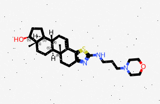 C[C@]12CC[C@H]3[C@@H](CC=C4c5sc(NCCCN6CCOCC6)nc5CC[C@@]43C)[C@@H]1CC[C@@H]2O